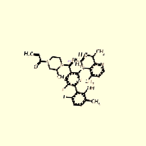 C=CC(=O)N1CCN(/C(=N/C)c2cc(F)c(-c3c(F)ccc(C)c3O)nc2N(C=O)c2c(C)ccnc2C(C)C)C(C)C1